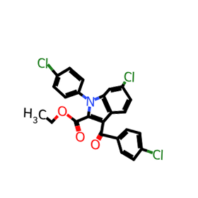 CCOC(=O)c1c(C(=O)c2ccc(Cl)cc2)c2ccc(Cl)cc2n1-c1ccc(Cl)cc1